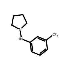 FC(F)(F)c1cccc(NN2CCCC2)c1